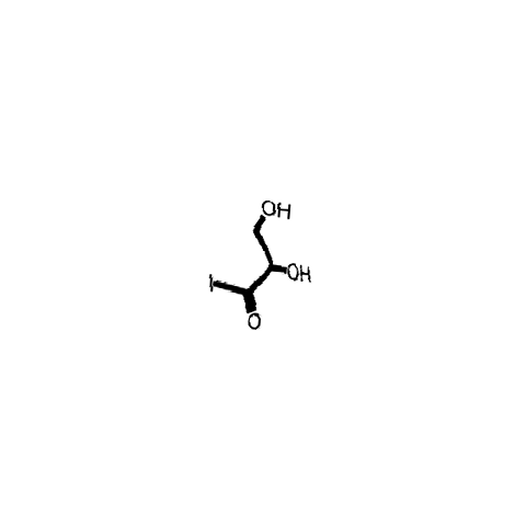 O=C(I)C(O)CO